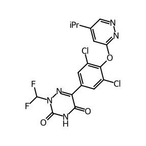 CC(C)c1cnnc(Oc2c(Cl)cc(-c3nn(C(F)F)c(=O)[nH]c3=O)cc2Cl)c1